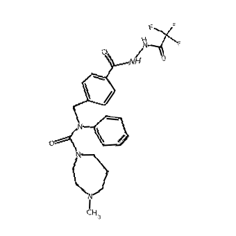 CN1CCCN(C(=O)N(Cc2ccc(C(=O)NNC(=O)C(F)(F)F)cc2)c2ccccc2)CC1